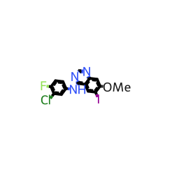 COc1cc2ncnc(Nc3ccc(F)c(Cl)c3)c2cc1I